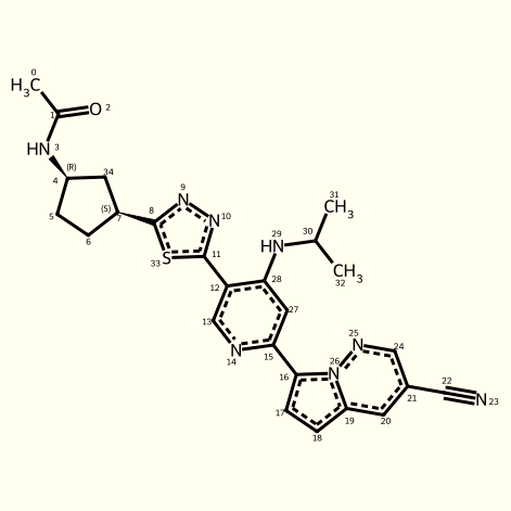 CC(=O)N[C@@H]1CC[C@H](c2nnc(-c3cnc(-c4ccc5cc(C#N)cnn45)cc3NC(C)C)s2)C1